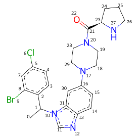 CC(c1ccc(Cl)cc1Br)n1cnc2ccc(N3CCN(C(=O)[C@H]4CCCN4)CC3)cc21